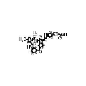 CCn1nc(C)cc1C(=O)Nc1cccc(C(=O)c2ccc3c(c2)NC(=O)/C3=C\Nc2ccc(CCCC(=O)O)cc2)c1